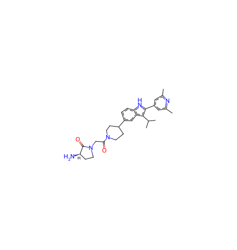 Cc1cc(-c2[nH]c3ccc(C4CCN(C(=O)CN5CC[C@@H](N)C5=O)CC4)cc3c2C(C)C)cc(C)n1